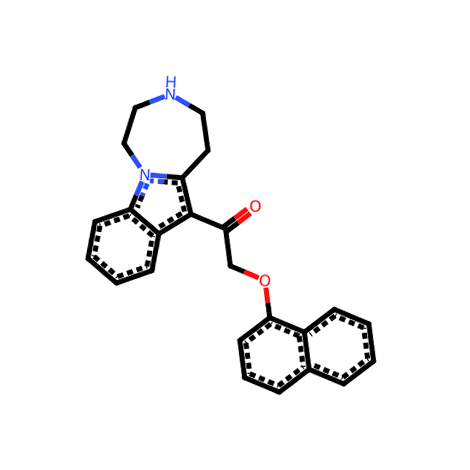 O=C(COc1cccc2ccccc12)c1c2n(c3ccccc13)CCNCC2